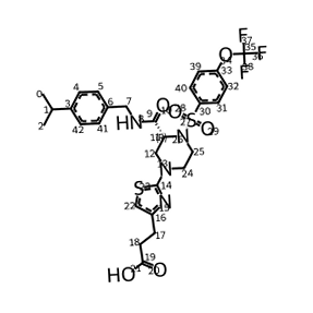 CC(C)c1ccc(CNC(=O)[C@H]2CN(c3nc(CCC(=O)O)cs3)CCN2S(=O)(=O)c2ccc(OC(F)(F)F)cc2)cc1